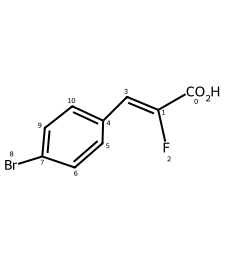 O=C(O)C(F)=Cc1ccc(Br)cc1